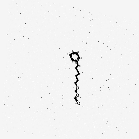 O=COCOCCCCCCc1ccccc1